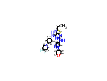 CCc1nc2c(N[C@H]3CC[C@H](N4CCC(F)(F)CC4)CC3)nc(Nc3cnn(C4CCOCC4)c3)nc2s1